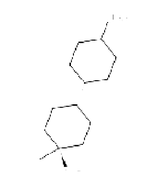 CCCCCCC1CCC([C@H]2CC[C@](C)(CCCCCC)CC2)CC1